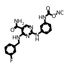 [C-]#[N+]OC(=O)Nc1cccc(Nc2ncc(C(N)=O)c(NCc3cccc(F)c3)n2)c1